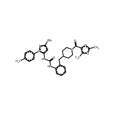 Cc1ccc(-n2nc(C(C)(C)C)cc2NC(=O)Nc2ccccc2CC2CCN(C(=O)c3nc(C)oc3C(F)(F)F)CC2)cc1